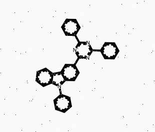 c1ccc(-c2nc(-c3ccccc3)nc(-c3ccc4c(c3)c3ccccc3n4-c3ccccc3)n2)cc1